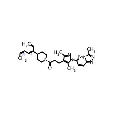 C=C/C(=C\C=C/C)C1CCN(C(=O)CCc2c(C)nn(-c3ccc4nnc(C)n4n3)c2C)CC1